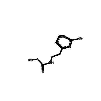 CC(C)SC(=O)NCCc1cccc(C(C)C)n1